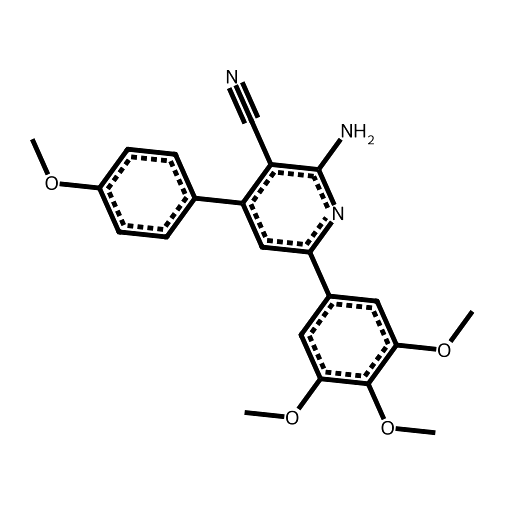 COc1ccc(-c2cc(-c3cc(OC)c(OC)c(OC)c3)nc(N)c2C#N)cc1